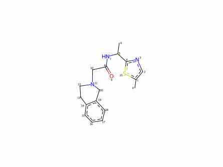 Cc1cnc(C(C)NC(=O)CN2CCc3ccccc3C2)s1